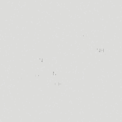 CN(c1ccc(C(N)=O)cc1)c1nc2ccccc2c(=O)o1